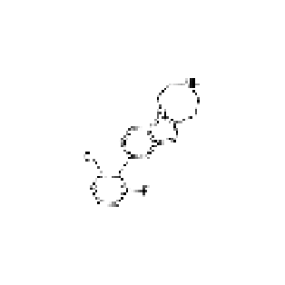 Fc1cccc(Cl)c1-c1ccc2c(c1)cc1n2CCNCC1